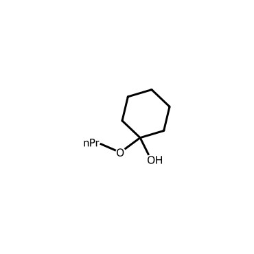 CCCOC1(O)CCCCC1